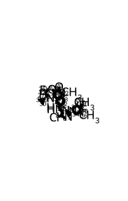 C[C@@H]1CN(c2ncc(Cl)c(Nc3ccc4c(c3)c3c(c(=O)n4C)OCC(F)(F)[C@H](C4CC4)N3)n2)C[C@H](C)C1(F)F